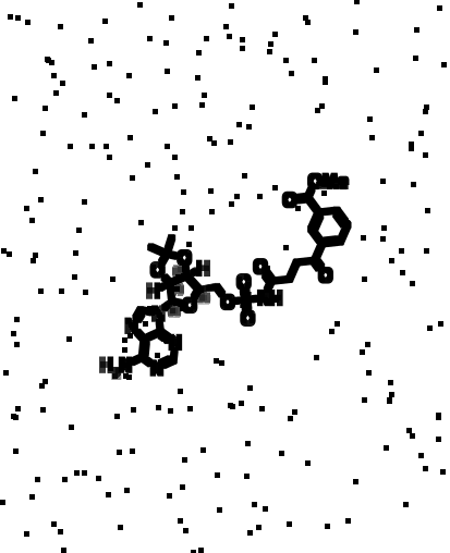 COC(=O)c1cccc(C(=O)CCC(=O)NS(=O)(=O)OC[C@H]2O[C@@H](n3cnc4c(N)ncnc43)[C@@H]3OC(C)(C)O[C@@H]32)c1